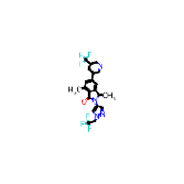 Cc1cc(-c2cncc(C(F)(F)F)c2)cc2c1C(=O)N(c1cnn(CC(F)(F)F)c1)C2C